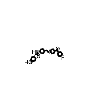 C[C@]1(O)CC[C@H](CC(=O)NC2CCC(CCN3CCC(C(=O)c4ccc(F)cc4)CC3)CC2)CC1